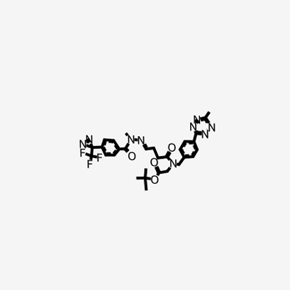 Cc1nnc(-c2ccc(CN(CC(=O)OC(C)(C)C)C(=O)CCC=NN(C)C(=O)c3ccc(C4(C(F)(F)F)N=N4)cc3)cc2)nn1